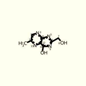 Cc1cnc2nc(CO)nc(O)c2n1